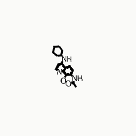 COc1c(NC(C)=O)ccc2c(NC3CCCCC3)ccnc12